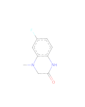 CN1CC(=O)Nc2ccc(F)cc21